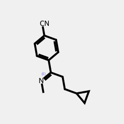 C/N=C(\CCC1CC1)c1ccc(C#N)cc1